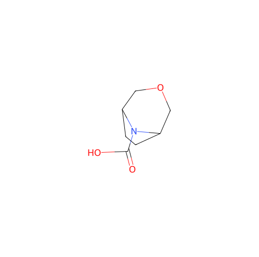 O=C(O)N1C2CCC1COC2